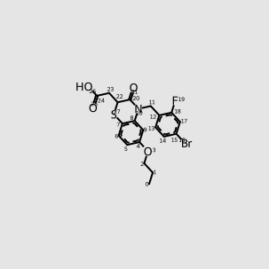 CCCOc1ccc2c(c1)N(Cc1ccc(Br)cc1F)C(=O)C(CC(=O)O)S2